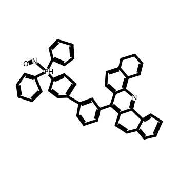 O=N[PH](c1ccccc1)(c1ccccc1)c1ccc(-c2cccc(-c3c4ccc5c(c4nc4c3ccc3ccccc34)C=CCC5)c2)cc1